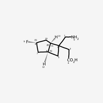 NCC1(CC(=O)O)C[C@H]2C[C@H](F)C[C@H]21